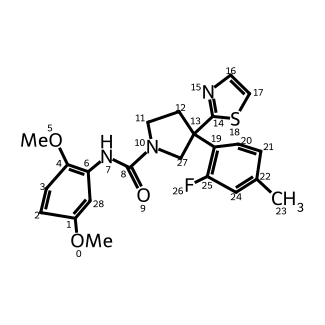 COc1ccc(OC)c(NC(=O)N2CCC(c3nccs3)(c3ccc(C)cc3F)C2)c1